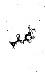 CN(C)[n+]1cc([N-]C(=O)C2CC2)on1